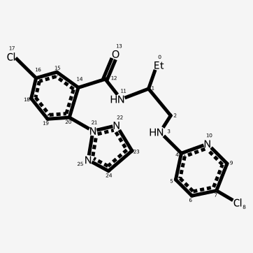 CCC(CNc1ccc(Cl)cn1)NC(=O)c1cc(Cl)ccc1-n1nccn1